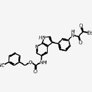 CCC(=O)C(=O)Nc1cccc(-c2c[nH]c3ncc(NC(=O)OCc4cccc(C#N)c4)cc23)c1